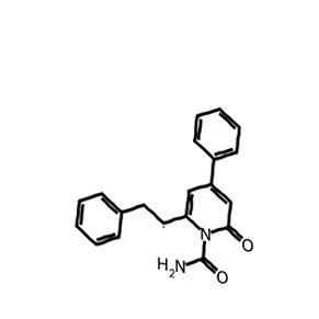 NC(=O)n1c([CH]Cc2ccccc2)cc(-c2ccccc2)cc1=O